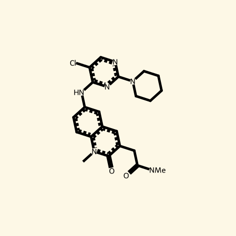 CNC(=O)Cc1cc2cc(Nc3nc(N4CCCCC4)ncc3Cl)ccc2n(C)c1=O